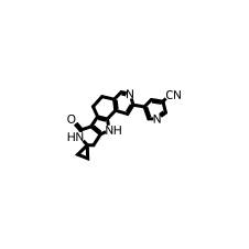 N#Cc1cncc(-c2cc3c(cn2)CCc2c-3[nH]c3c2C(=O)NC2(CC2)C3)c1